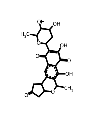 CC1OC2CC(=O)CC2c2cc3c(c(O)c21)C(=O)C(O)=C(C1CC(O)C(O)C(C)O1)C3=O